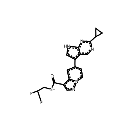 O=C(NCC(F)F)c1cnn2ccc(-c3c[nH]c4nc(C5CC5)ncc34)cc12